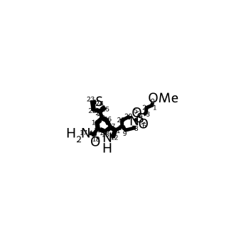 COCCCS(=O)(=O)N1CCC(c2c[nH]c3c(C(N)=O)cc(-c4ccsc4)cc23)CC1